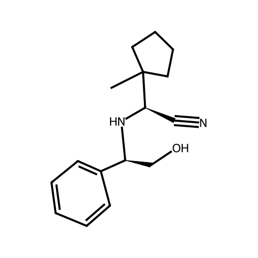 CC1([C@@H](C#N)N[C@@H](CO)c2ccccc2)CCCC1